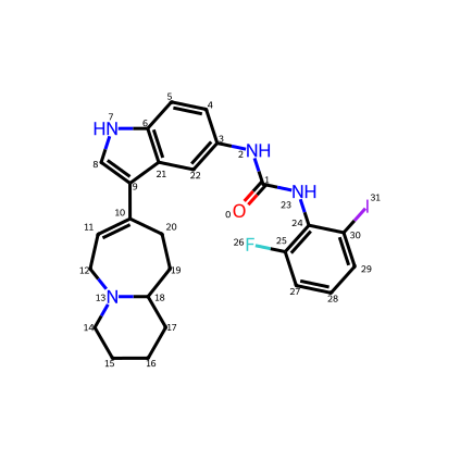 O=C(Nc1ccc2[nH]cc(C3=CCN4CCCCC4CC3)c2c1)Nc1c(F)cccc1I